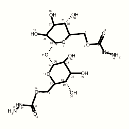 NNC(=O)OCC1O[C@H](O[C@H]2OC(COC(=O)NN)[C@@H](O)C(O)C2O)C(O)C(O)[C@@H]1O